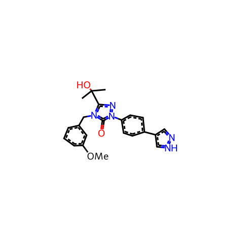 COc1cccc(Cn2c(C(C)(C)O)nn(-c3ccc(-c4cn[nH]c4)cc3)c2=O)c1